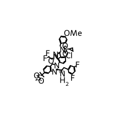 COc1ccc(CN(c2nn(CC(F)F)c3c(-n4c([C@@H](N)Cc5cc(F)cc(F)c5)nc5cc(C(C)(C)S(C)(=O)=O)ccc5c4=O)ccc(Cl)c23)S(=O)(=O)C2CC2)cc1